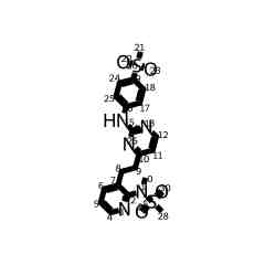 CN(c1ncccc1CCc1ccnc(Nc2ccc(S(C)(=O)=O)cc2)n1)S(C)(=O)=O